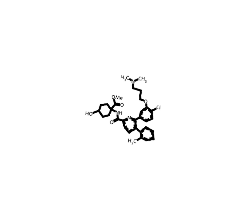 COC(=O)C1(NC(=O)c2ccc(-c3ccccc3C)c(-c3ccc(Cl)c(OCCCN(C)C)c3)n2)CCC(O)CC1